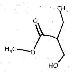 CCC(CO)C(=O)OC